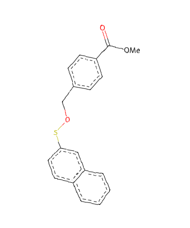 COC(=O)c1ccc(COSc2ccc3ccccc3c2)cc1